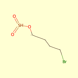 O=[SH](=O)O[CH]CCCBr